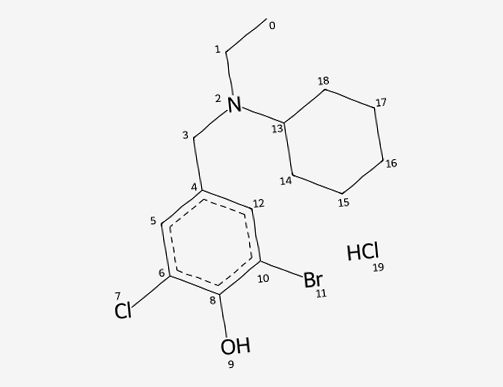 CCN(Cc1cc(Cl)c(O)c(Br)c1)C1CCCCC1.Cl